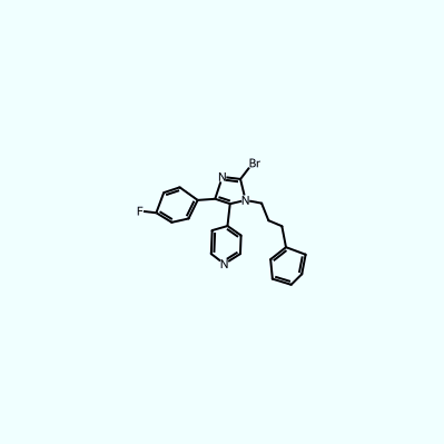 Fc1ccc(-c2nc(Br)n(CCCc3ccccc3)c2-c2ccncc2)cc1